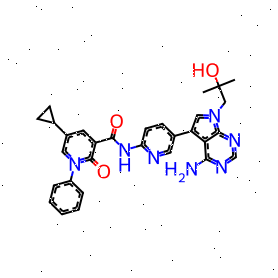 CC(C)(O)Cn1cc(-c2ccc(NC(=O)c3cc(C4CC4)cn(-c4ccccc4)c3=O)nc2)c2c(N)ncnc21